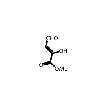 COC(=O)/C(O)=C/[C]=O